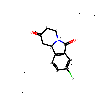 O=C1CCN2C(=O)c3cc(Cl)ccc3C2C1